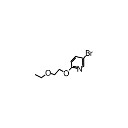 CCOCCOc1ccc(Br)cn1